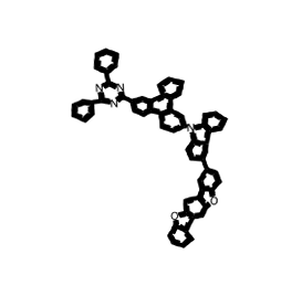 c1ccc(-c2nc(-c3ccccc3)nc(-c3ccc4c5ccc(-n6c7ccccc7c7cc(-c8ccc9oc%10cc%11c(cc%10c9c8)oc8ccccc8%11)ccc76)cc5c5ccccc5c4c3)n2)cc1